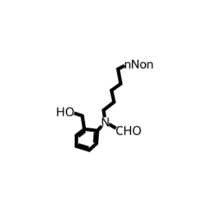 CCCCCCCCCCCCCCN(C=O)c1ccccc1CO